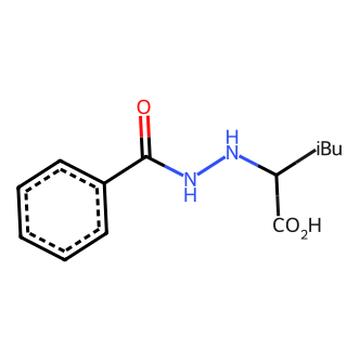 CCC(C)C(NNC(=O)c1ccccc1)C(=O)O